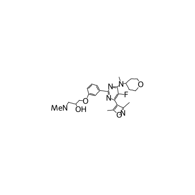 CNCC(O)COc1cccc(-c2nc(-c3c(C)noc3C)c(F)c(N(C)C3CCOCC3)n2)c1